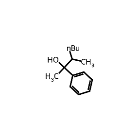 CCCCC(C)C(C)(O)c1ccccc1